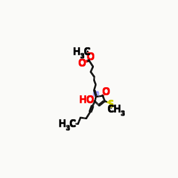 CCCCC#CC1(O)C=C(SC)C(=O)/C1=C\CCCCCC(=O)OC